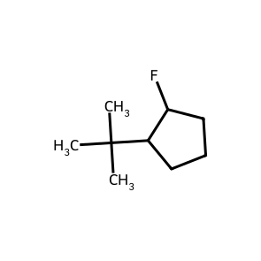 CC(C)(C)C1CCCC1F